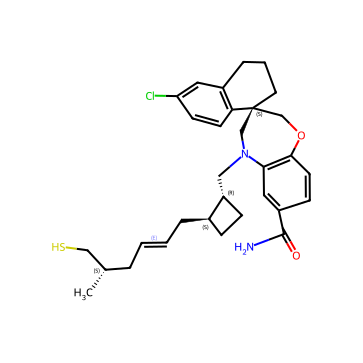 C[C@H](CS)C/C=C/C[C@@H]1CC[C@H]1CN1C[C@@]2(CCCc3cc(Cl)ccc32)COc2ccc(C(N)=O)cc21